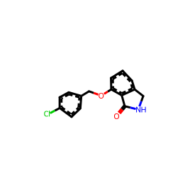 O=C1NCc2cccc(OCc3ccc(Cl)cc3)c21